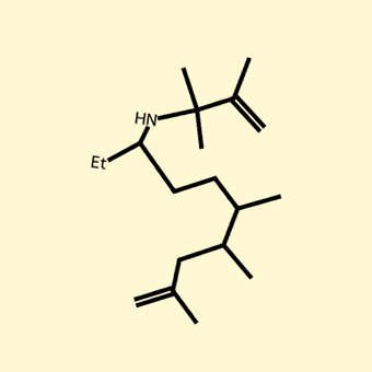 C=C(C)CC(C)C(C)CCC(CC)NC(C)(C)C(=C)C